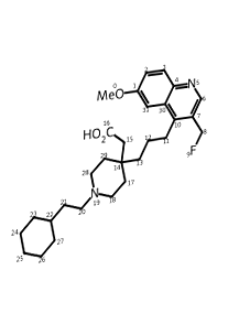 COc1ccc2ncc(CF)c(CCCC3(CC(=O)O)CCN(CCC4CCCCC4)CC3)c2c1